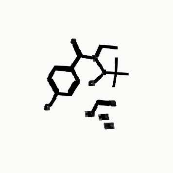 CCN(C(=O)c1ccc(Cl)cc1)N(Cl)C(C)(C)C.Cl.Cl.O=CO